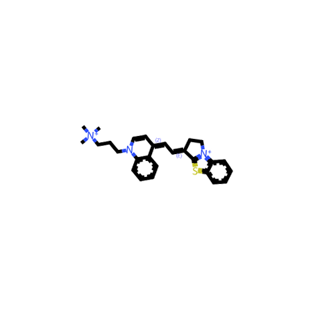 C[N+](C)(C)CCCN1C=C/C(=C/C=C2\CC[n+]3c2sc2ccccc23)c2ccccc21